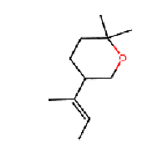 CC=C(C)C1CCC(C)(C)OC1